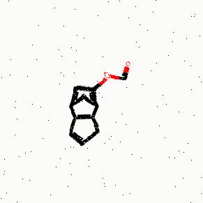 O=COC1=C2CC(=C1)C1=C2CC=C1